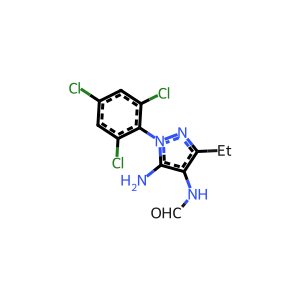 CCc1nn(-c2c(Cl)cc(Cl)cc2Cl)c(N)c1NC=O